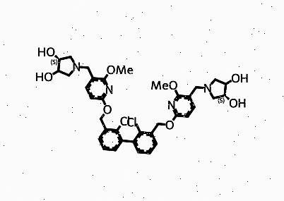 COc1nc(OCc2cccc(-c3cccc(COc4ccc(CN5CC(O)[C@@H](O)C5)c(OC)n4)c3Cl)c2Cl)ccc1CN1CC(O)[C@@H](O)C1